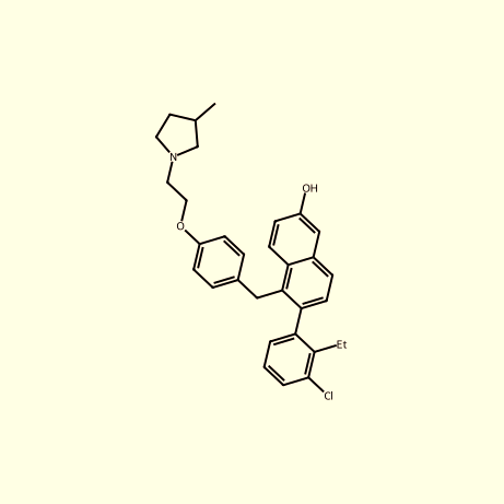 CCc1c(Cl)cccc1-c1ccc2cc(O)ccc2c1Cc1ccc(OCCN2CCC(C)C2)cc1